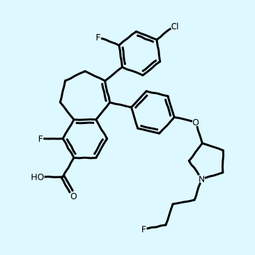 O=C(O)c1ccc2c(c1F)CCCC(c1ccc(Cl)cc1F)=C2c1ccc(OC2CCN(CCCF)C2)cc1